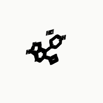 C1=CC(c2cnc3[nH]ncc3c2N2CCNCC2)=C1.Cl